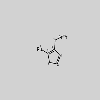 CCCCC1=[C]([Ru])CC=C1